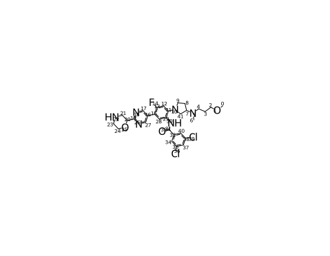 COCCCN(C)C1CCN(c2cc(F)c(-c3cnc(C4CNCCO4)nc3)cc2NC(=O)c2cc(Cl)cc(Cl)c2)C1